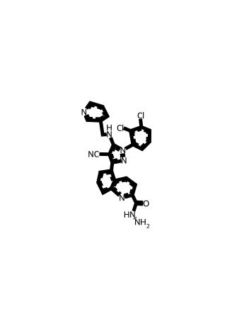 N#Cc1c(-c2cccc3nc(C(=O)NN)ccc23)nn(-c2cccc(Cl)c2Cl)c1NCc1cccnc1